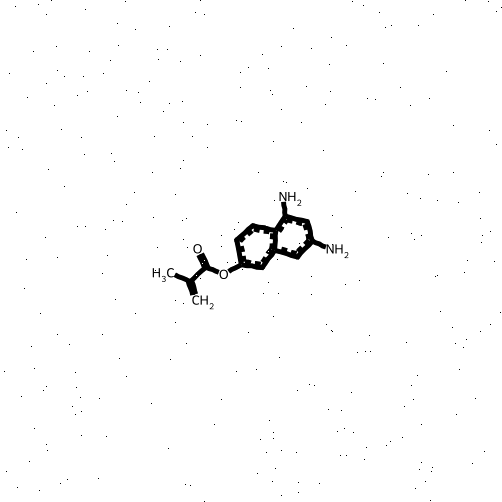 C=C(C)C(=O)Oc1ccc2c(N)cc(N)cc2c1